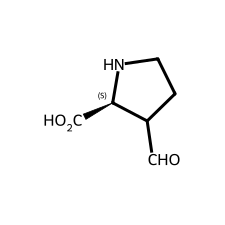 O=CC1CCN[C@@H]1C(=O)O